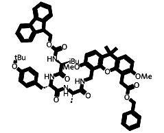 CC[C@H](C)[C@H](NC(=O)OCC1c2ccccc2-c2ccccc21)C(=O)N[C@@H](Cc1ccc(OC(C)(C)C)cc1)C(=O)N[C@@H](C)C(=O)NCc1c(OC)ccc2c1Oc1c(ccc(OC)c1CC(=O)OCc1ccccc1)C2(C)C